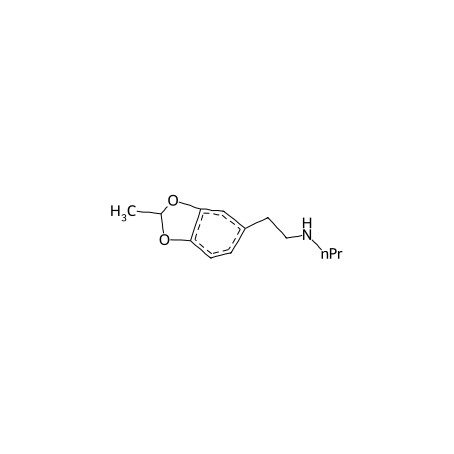 CCCNCCc1ccc2c(c1)OC(C)O2